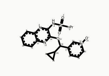 CCCS(=O)(=O)Nc1nc2ccccc2nc1OC(c1ccc[n+]([O-])c1)C1CC1